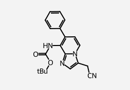 CC(C)(C)OC(=O)Nc1c(-c2ccccc2)ccn2c(CC#N)cnc12